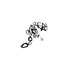 CC(Cn1c(=O)n(-c2ccc(Oc3ccccc3)cc2)c2c(N)ncnc21)NC(=O)C(C#N)=CC1(C)COC1